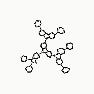 c1ccc(-c2ccc3c(c2)c2cc(-c4ccccc4)ccc2n3-c2ccc3c(c2)c2cc(-n4c5ccc(-c6ccccc6)cc5c5cc(-c6ccccc6)ccc54)ccc2n3-c2ccn3c(-c4ccccc4)c(-c4ccccc4)nc3c2)cc1